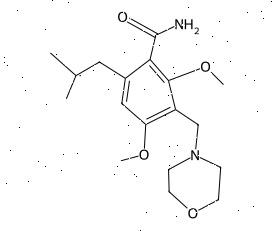 COc1cc(C[C](C)C)c(C(N)=O)c(OC)c1CN1CCOCC1